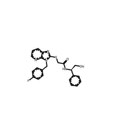 O=C(CSc1nc2cccnc2n1Cc1ccc(F)cc1)N[C@@H](CO)c1ccccc1